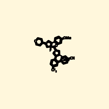 COC[C@H]1CN(C(=O)[C@]2(F)CN(C3CCOCC3)C[C@H]2c2ccc(OC)cc2)CC1c1ccc(C(F)(F)F)cc1N1CCC(C#N)CC1